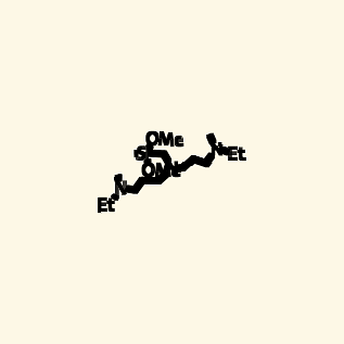 CCN(C)CCCN(CCCN(C)CC)C[Si](C)(OC)OC